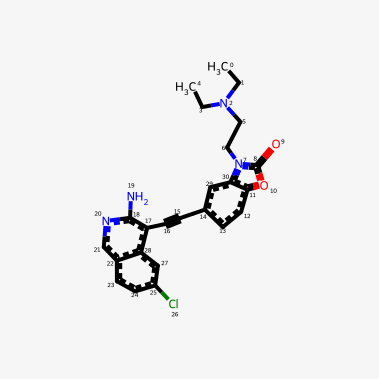 CCN(CC)CCn1c(=O)oc2ccc(C#Cc3c(N)ncc4ccc(Cl)cc34)cc21